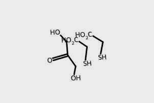 O=C(CO)CO.O=C(O)CS.O=C(O)CS